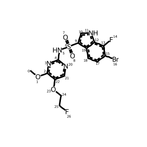 COc1nc(NS(=O)(=O)c2c[nH]c3c(F)c(Br)ccc23)ncc1OCCF